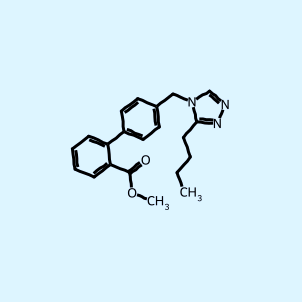 CCCCc1nncn1Cc1ccc(-c2ccccc2C(=O)OC)cc1